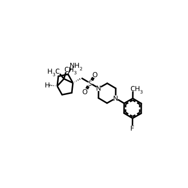 Cc1ccc(F)cc1N1CCN(S(=O)(=O)C[C@@]23CC[C@@H](C[C@H]2N)C3(C)C)CC1